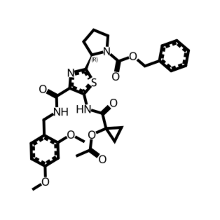 COc1ccc(CNC(=O)c2nc([C@H]3CCCN3C(=O)OCc3ccccc3)sc2NC(=O)C2(OC(C)=O)CC2)c(OC)c1